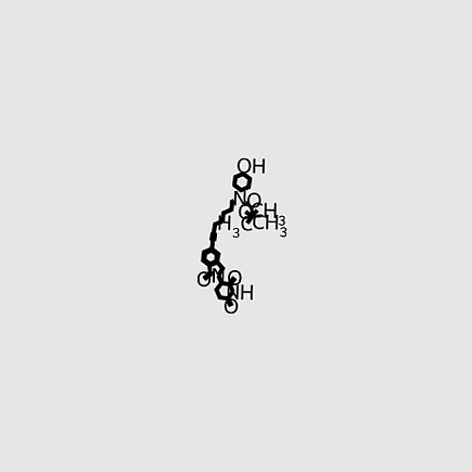 CC(C)(C)OC(=O)N(CCCCCC#Cc1ccc2c(c1)CN(C1CCC(=O)NC1=O)C2=O)[C@H]1CC[C@@H](O)CC1